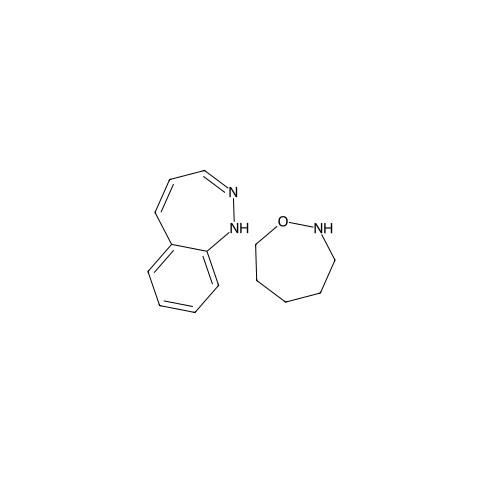 C1=Cc2ccccc2NN=C1.C1CCNOCC1